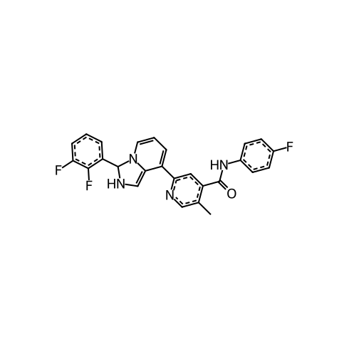 Cc1cnc(C2=CC=CN3C2=CNC3c2cccc(F)c2F)cc1C(=O)Nc1ccc(F)cc1